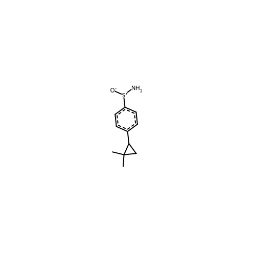 CC1(C)CC1c1ccc([S+](N)[O-])cc1